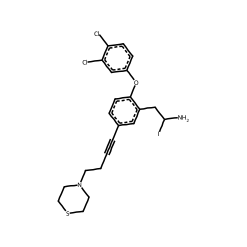 NC(I)Cc1cc(C#CCCN2CCSCC2)ccc1Oc1ccc(Cl)c(Cl)c1